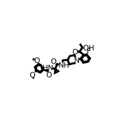 COc1cc(OC)cc(C(=O)NC2(C(=O)NCC3CCN(c4cccc(F)c4C(=O)C(C)O)CC3)CC2)c1